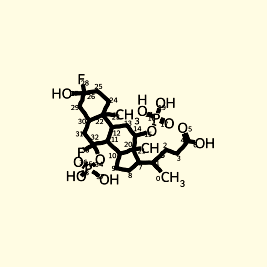 CC(CCC(=O)O)C1CCC2C3C(CC(OP(=O)(O)O)C12C)C1(C)CCC(O)(F)CC1CC3(F)OP(=O)(O)O